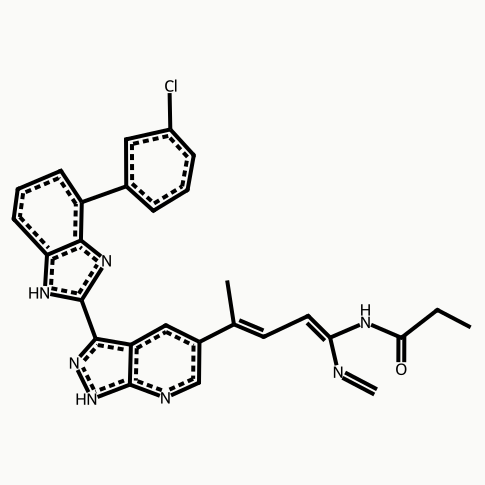 C=N/C(=C\C=C(/C)c1cnc2[nH]nc(-c3nc4c(-c5cccc(Cl)c5)cccc4[nH]3)c2c1)NC(=O)CC